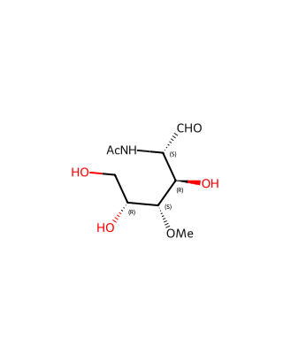 CO[C@@H]([C@H](O)[C@@H](C=O)NC(C)=O)[C@H](O)CO